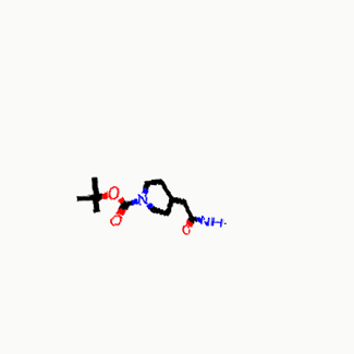 CC(C)(C)OC(=O)N1CCC(CC([NH])=O)CC1